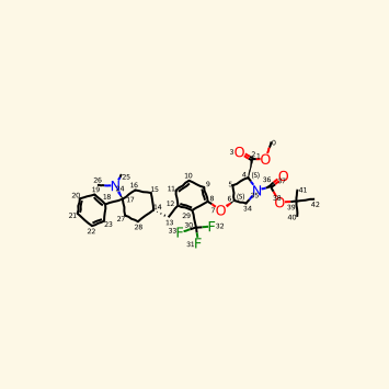 COC(=O)[C@@H]1C[C@H](Oc2cccc(C[C@H]3CC[C@](c4ccccc4)(N(C)C)CC3)c2C(F)(F)F)CN1C(=O)OC(C)(C)C